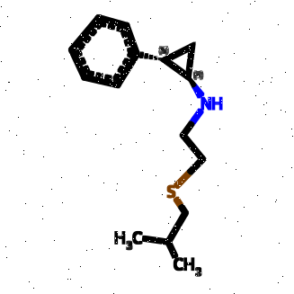 CC(C)CSCCN[C@@H]1C[C@H]1c1ccccc1